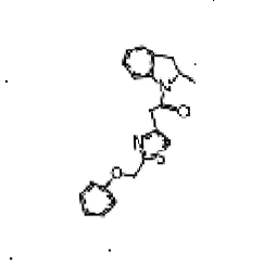 CC1Cc2ccccc2N1C(=O)Cc1csc(COc2ccccc2)n1